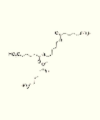 O=C(O)CCCCC(=O)OCCCCC(COC(=O)CCCCC(=O)O)OC(=O)CCCCC(=O)O